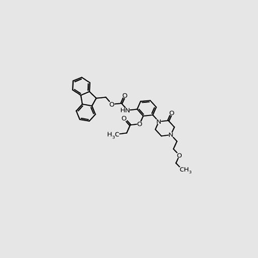 CCOCCN1CCN(c2cccc(NC(=O)OCC3c4ccccc4-c4ccccc43)c2OC(=O)CC)C(=O)C1